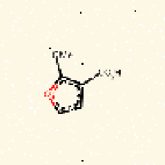 COc1occc1C(=O)O